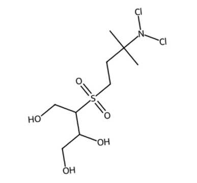 CC(C)(CCS(=O)(=O)C(CO)C(O)CO)N(Cl)Cl